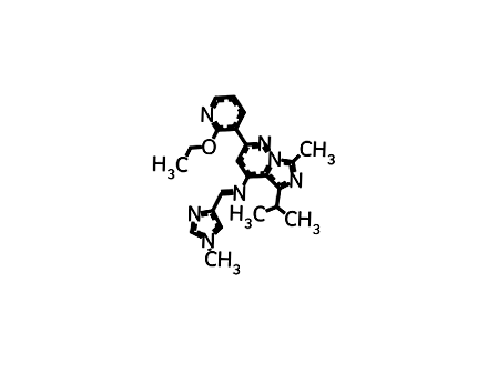 CCOc1ncccc1-c1cc(N=Cc2cn(C)cn2)c2c(C(C)C)nc(C)n2n1